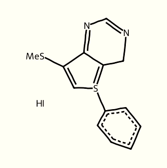 CSC1=CS(c2ccccc2)=C2CN=CN=C12.I